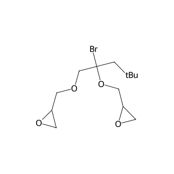 CC(C)(C)CC(Br)(COCC1CO1)OCC1CO1